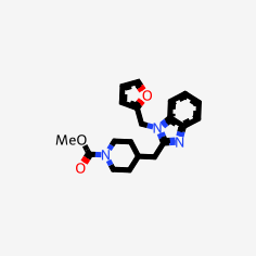 COC(=O)N1CCC(Cc2nc3ccccc3n2Cc2ccco2)CC1